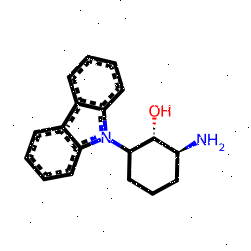 N[C@H]1CCCC(n2c3ccccc3c3ccccc32)[C@@H]1O